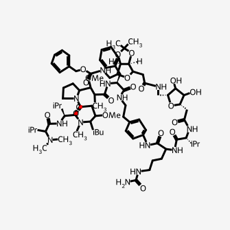 CCC(C)C(C(CC(=O)N1CCCC1C(OC)C(C)C(=O)N[C@@H](Cc1ccccc1)C(=O)NCCc1ccc(NC(=O)C(CCCNC(N)=O)NC(=O)[C@H](NC(=O)C[C@@H]2O[C@H](CNC(=O)CC3OC(CNC(=O)OCc4ccccc4)[C@H]4OC(C)(C)O[C@@H]34)C(O)C2O)C(C)C)cc1)OC)N(C)C(=O)[C@@H](NC(=O)C(C(C)C)N(C)C)C(C)C